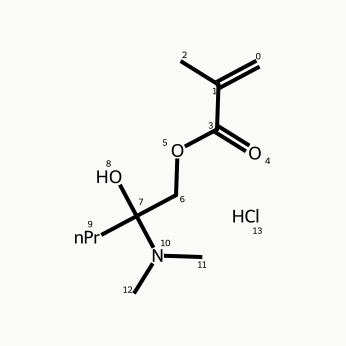 C=C(C)C(=O)OCC(O)(CCC)N(C)C.Cl